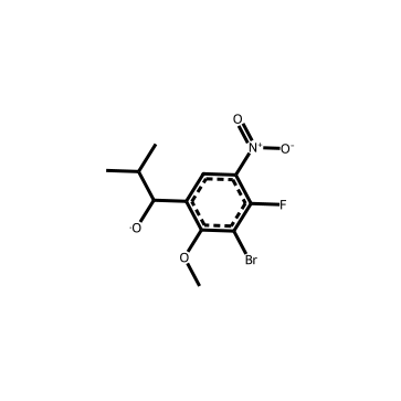 COc1c(C([O])C(C)C)cc([N+](=O)[O-])c(F)c1Br